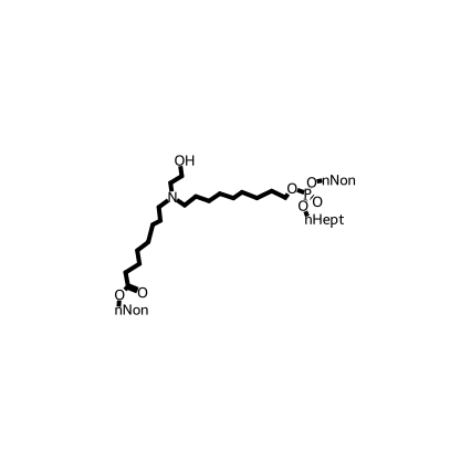 CCCCCCCCCOC(=O)CCCCCCCN(CCO)CCCCCCCCCOP(=O)(OCCCCCCC)OCCCCCCCCC